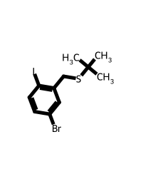 CC(C)(C)SCc1cc(Br)ccc1I